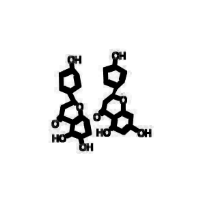 O=C1CC(c2ccc(O)cc2)Oc2ccc(O)c(O)c21.O=C1C[C@@H](c2ccc(O)cc2)Oc2cc(O)cc(O)c21